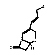 O=C1C[C@H]2SCC(/C=C/CCl)=CN12